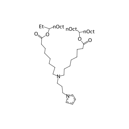 CCCCCCCCC(CC)OC(=O)CCCCCCCN(CCCCCCCC(=O)OC(CCCCCCCC)CCCCCCCC)CCCn1cccc1